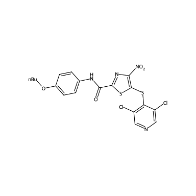 CCCCOc1ccc(NC(=O)c2nc([N+](=O)[O-])c(Sc3c(Cl)cncc3Cl)s2)cc1